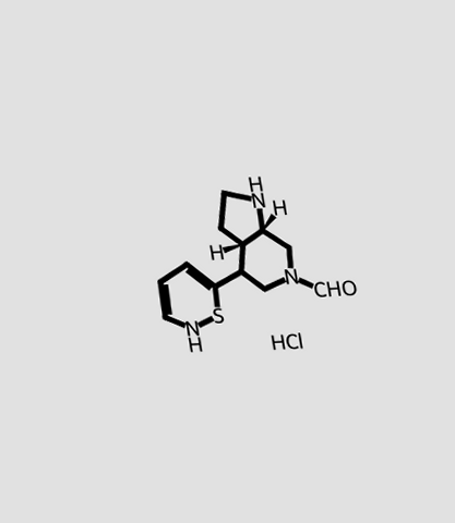 Cl.O=CN1CC(C2=CC=CNS2)[C@@H]2CCN[C@@H]2C1